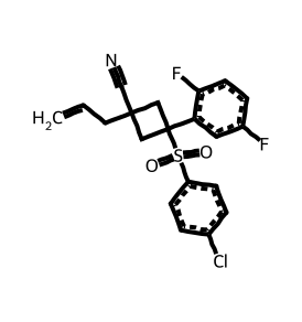 C=CCC1(C#N)CC(c2cc(F)ccc2F)(S(=O)(=O)c2ccc(Cl)cc2)C1